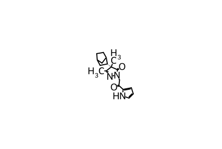 CC1=NN(CC(=O)c2ccc[nH]2)C(=O)C1(C)[C@@H]1CC2CCC1C2